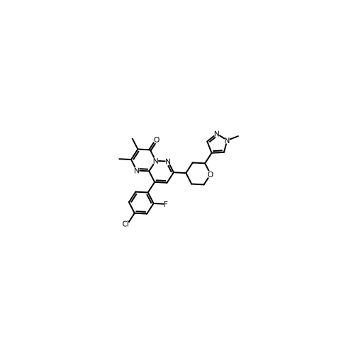 Cc1nc2c(-c3ccc(Cl)cc3F)cc(C3CCOC(c4cnn(C)c4)C3)nn2c(=O)c1C